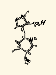 Cc1nc(-c2cnn(C)c2C(=O)O)ncc1Br